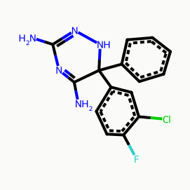 NC1=NNC(c2ccccc2)(c2ccc(F)c(Cl)c2)C(N)=N1